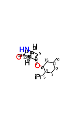 CC1CCC(C(C)C)C(OC2=C[C@@H]3NC(=O)[C@@H]23)C1